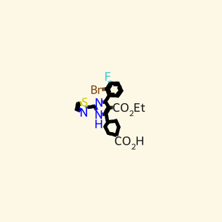 CCOC(=O)C1=C(C2CCC(C(=O)O)CC2)NC(c2nccs2)=NC1c1cccc(F)c1Br